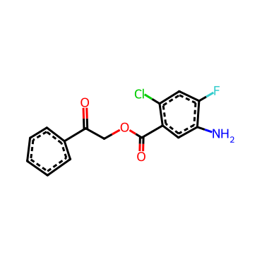 Nc1cc(C(=O)OCC(=O)c2ccccc2)c(Cl)cc1F